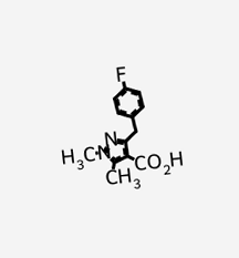 Cc1c(C(=O)O)c(Cc2ccc(F)cc2)nn1C